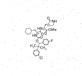 COC(=O)[C@H](C[C@@H]1CCNC1=O)NC(=O)[C@H](CC1CCCCC1)NC(=O)OC(c1ccc(F)cc1)C(C)(C)c1cccc(Cl)c1